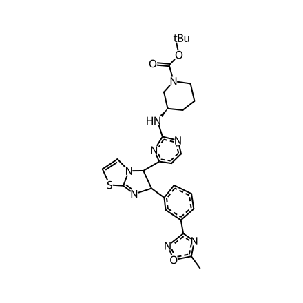 Cc1nc(-c2cccc(C3N=C4SC=CN4C3c3ccnc(N[C@@H]4CCCN(C(=O)OC(C)(C)C)C4)n3)c2)no1